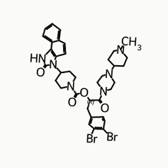 CN1CCC(N2CCN(C(=O)[C@@H](Cc3ccc(Br)c(Br)c3)OC(=O)N3CCC(n4c(=O)[nH]c5c6ccccc6ccc54)CC3)CC2)CC1